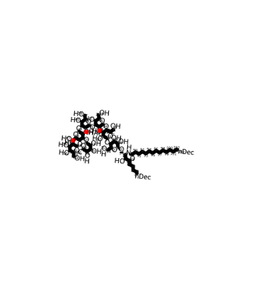 CCCCCCCCCCCCC/C=C/[C@@H](O)[C@H](CO[C@@H]1OC(CO)[C@@H](O[C@@H]2OC(CO)[C@H](O[C@@H]3OC(CO)[C@H](O)[C@H](O[C@@H]4OC(CO)[C@H](O)[C@H](O[C@@H]5OC(CO)[C@@H](O[C@@H]6OC(CO)[C@H](O)[C@H](O)C6O)[C@H](O[C@H]6OC(C)[C@@H](O)C(O)[C@@H]6O)C5NC(C)=O)C4O)C3NC(C)=O)[C@H](O)C2O)[C@H](O)C1O)NC(=O)CCCCCCCCCCCCCCCCCCCCCCC